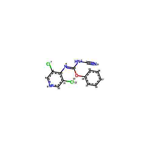 N#CNC(=Nc1c(Cl)cncc1Cl)Oc1ccccc1